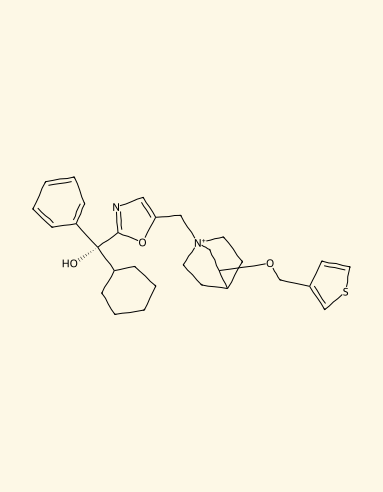 O[C@](c1ccccc1)(c1ncc(C[N+]23CCC(CC2)C(OCc2ccsc2)C3)o1)C1CCCCC1